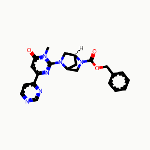 Cn1c(N2C[C@@H]3CC2CN3C(=O)OCc2ccccc2)nc(-c2ccncn2)cc1=O